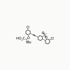 CC(C)(C)C(Oc1ccc(Cl)cc1C#Cc1ccc(-c2cccc(Cl)c2)c(S(C)(=O)=O)c1)C(=O)O